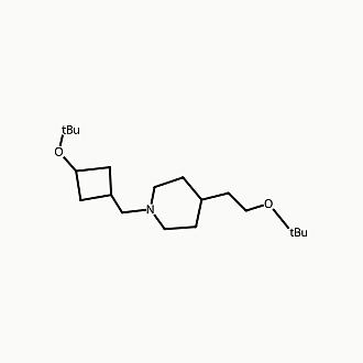 CC(C)(C)OCCC1CCN(CC2CC(OC(C)(C)C)C2)CC1